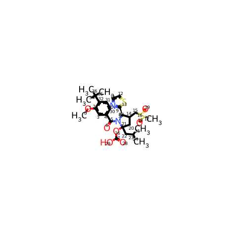 COc1cc(C(=O)N2[C@@H](c3nccs3)C(CS(C)(=O)=O)CC2(CC(C)C)OC(=O)O)ccc1C(C)(C)C